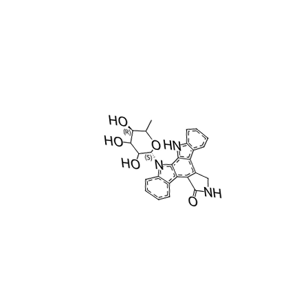 CC1O[C@H](n2c3ccccc3c3c4c(c5c6ccccc6[nH]c5c32)CNC4=O)C(O)C(O)[C@H]1O